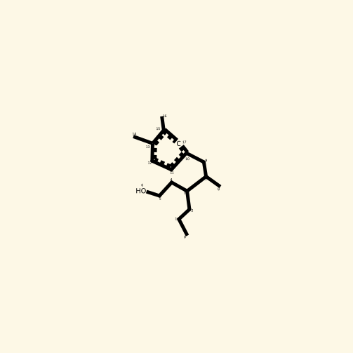 CCCC(CCO)C(C)Cc1ccc(C)c(C)c1